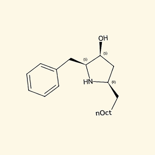 CCCCCCCCC[C@@H]1C[C@H](O)[C@H](Cc2ccccc2)N1